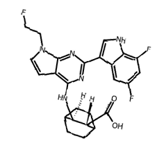 O=C(O)[C@@H]1C2CCC(CC2)[C@H]1Nc1nc(-c2c[nH]c3c(F)cc(F)cc23)nc2c1ccn2CCF